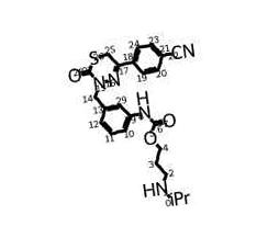 CC(C)NCCCOC(=O)Nc1cccc(CN2N=C(c3ccc(C#N)cc3)CSC2=O)c1